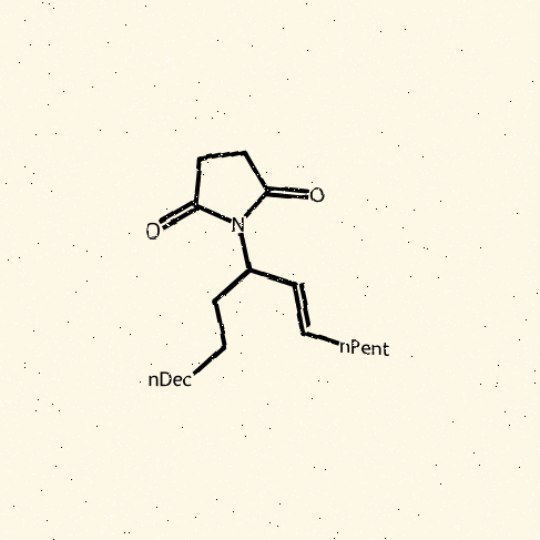 CCCCC/C=C/C(CCCCCCCCCCCC)N1C(=O)CCC1=O